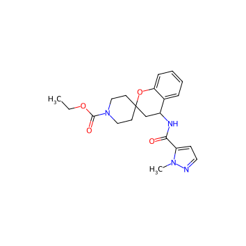 CCOC(=O)N1CCC2(CC1)CC(NC(=O)c1ccnn1C)c1ccccc1O2